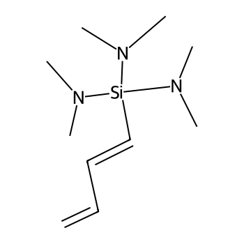 C=C/C=C/[Si](N(C)C)(N(C)C)N(C)C